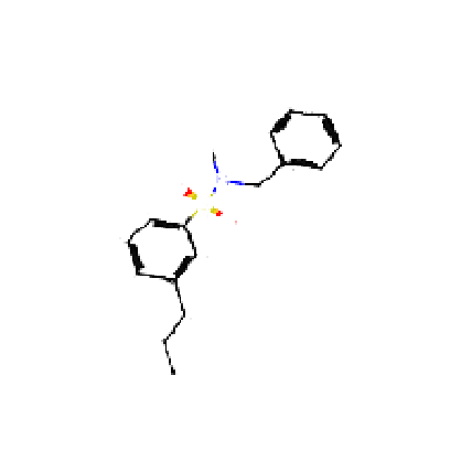 CCCc1cccc(S(=O)(=O)N(C)Cc2ccccc2)c1